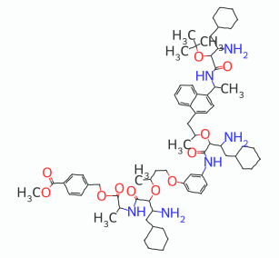 COC(=O)c1ccc(COC(=O)C(C)NC(=O)C(OC(C)CCOc2cccc(NC(=O)C(OC(C)Cc3ccc(C(C)NC(=O)C(OC(C)(C)C)[C@H](N)CC4CCCCC4)c4ccccc34)C(N)CC3CCCCC3)c2)C(N)CC2CCCCC2)cc1